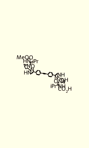 COC(=O)N[C@H](C(=O)N1C(c2nc(-c3ccc(C#Cc4ccc(-c5c[nH]c([C@@H]6C[C@H]7CC7N6C(=O)[C@@H](NC(=O)O)C(C)C)n5)cc4)cc3)c[nH]2)CC2CC21)C(C)C